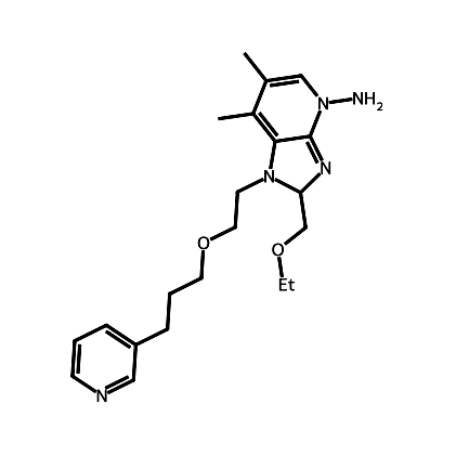 CCOCC1N=C2C(=C(C)C(C)=CN2N)N1CCOCCCc1cccnc1